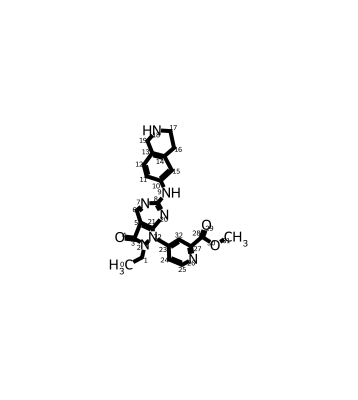 CCn1c(=O)c2cnc(Nc3ccc4c(c3)CCNC4)nc2n1-c1ccnc(C(=O)OC)c1